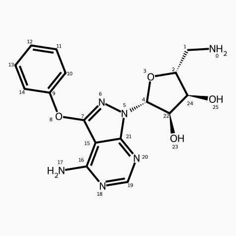 NC[C@H]1O[C@@H](n2nc(Oc3ccccc3)c3c(N)ncnc32)[C@H](O)[C@@H]1O